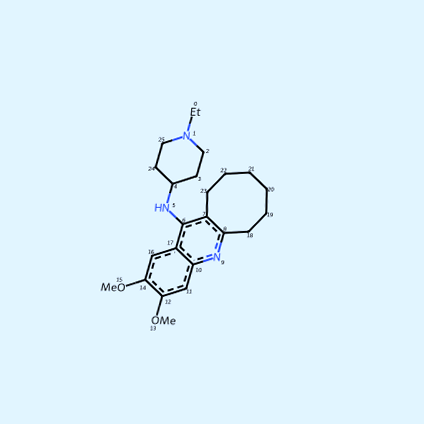 CCN1CCC(Nc2c3c(nc4cc(OC)c(OC)cc24)CCCCCC3)CC1